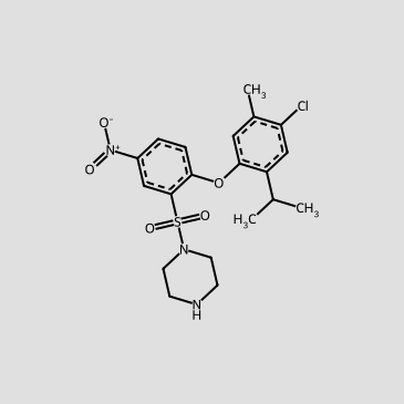 Cc1cc(Oc2ccc([N+](=O)[O-])cc2S(=O)(=O)N2CCNCC2)c(C(C)C)cc1Cl